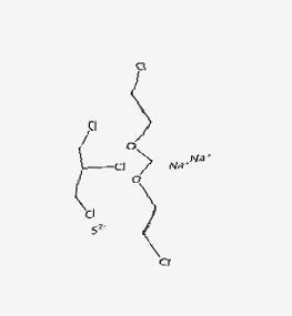 ClCC(Cl)CCl.ClCCOCOCCCl.[Na+].[Na+].[S-2]